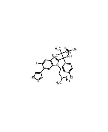 CN(C)CCn1c(C(NC(=O)O)(c2ccc(Cl)cc2)C(C)(C)C)nc2cc(F)c(-c3cn[nH]c3)cc21